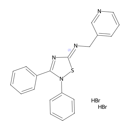 Br.Br.c1ccc(-c2n/c(=N/Cc3cccnc3)sn2-c2ccccc2)cc1